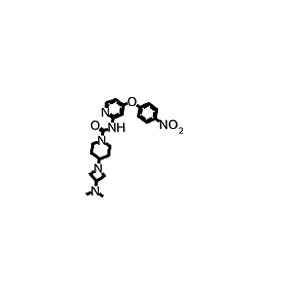 CN(C)C1CN(C2CCN(C(=O)Nc3cc(Oc4ccc([N+](=O)[O-])cc4)ccn3)CC2)C1